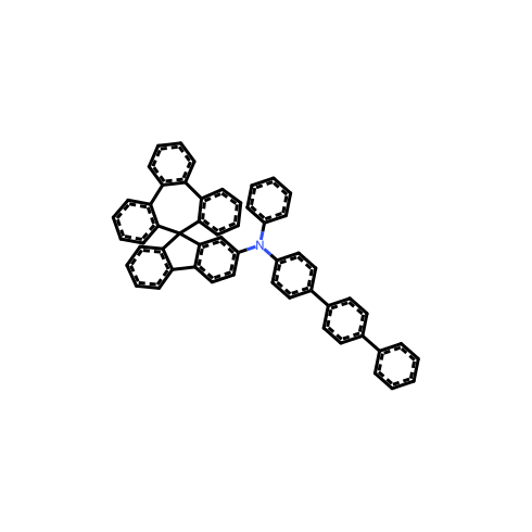 c1ccc(-c2ccc(-c3ccc(N(c4ccccc4)c4ccc5c(c4)C4(c6ccccc6-c6ccccc6-c6ccccc64)c4ccccc4-5)cc3)cc2)cc1